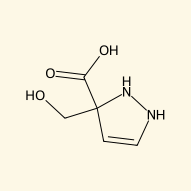 O=C(O)C1(CO)C=CNN1